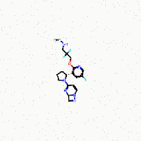 O=CNCC(F)(F)COc1ncc(F)cc1[C@H]1CCCN1C1=NC2C=NN2C=C1